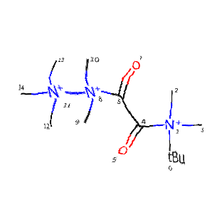 CC(C)(C)[N+](C)(C)C(=O)C(=O)[N+](C)(C)[N+](C)(C)C